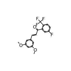 COc1cc(C=CC(=O)c2cc(F)ccc2C(F)(F)F)cc(OC)c1